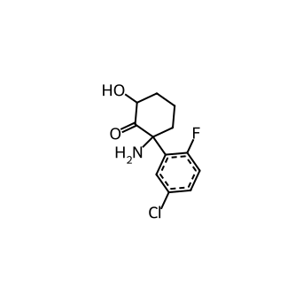 NC1(c2cc(Cl)ccc2F)CCCC(O)C1=O